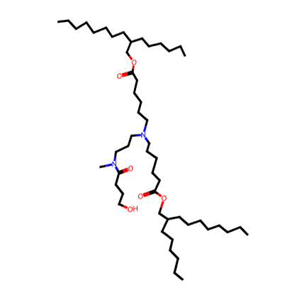 CCCCCCCCC(CCCCCC)COC(=O)CCCCCN(CCCCCC(=O)OCC(CCCCCC)CCCCCCCC)CCCN(C)C(=O)CCCO